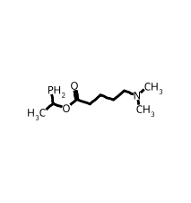 CC(P)OC(=O)CCCCN(C)C